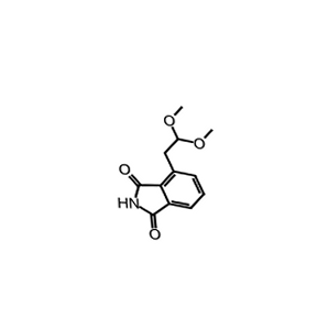 COC(Cc1cccc2c1C(=O)NC2=O)OC